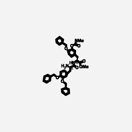 CNC(=O)Oc1cc(C[C@H](NC(=O)[C@@H](N)Cc2ccc(OCc3ccccc3)c(OCc3ccccc3)c2)C(=O)OC)ccc1OCc1ccccc1